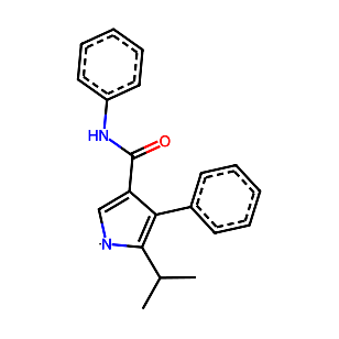 CC(C)C1=C(c2ccccc2)C(C(=O)Nc2ccccc2)=C[N]1